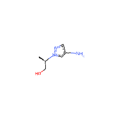 C[C@H](CO)n1cc(N)cn1